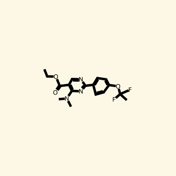 CCOC(=O)c1cnc(-c2ccc(OC(C)(F)F)cc2)nc1N(C)C